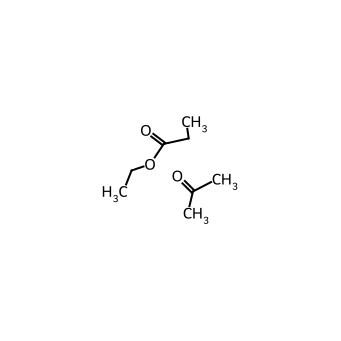 CC(C)=O.CCOC(=O)CC